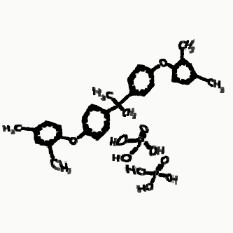 Cc1ccc(Oc2ccc(C(C)(C)c3ccc(Oc4ccc(C)cc4C)cc3)cc2)c(C)c1.O=P(O)(O)O.O=P(O)(O)O